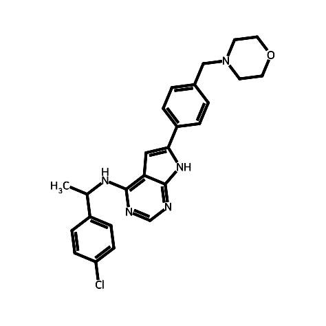 CC(Nc1ncnc2[nH]c(-c3ccc(CN4CCOCC4)cc3)cc12)c1ccc(Cl)cc1